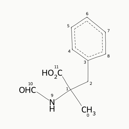 CC(Cc1ccccc1)(NC=O)C(=O)O